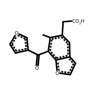 Cc1c(CC(=O)O)cc2ccoc2c1C(=O)c1ccoc1